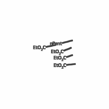 CCCCCC.CCOC(C)=O.CCOC(C)=O.CCOC(C)=O.CCOC(C)=O